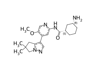 COc1cnc(NC(=O)[C@H]2CCC[C@@H](N)C2)cc1-c1cnn2c1CC(C)(C)C2